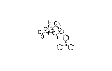 O=C(O)c1ccco1.O=C(O)c1ccco1.O=C([O-])c1ccco1.c1ccc([S+](c2ccccc2)c2ccccc2)cc1